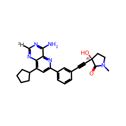 [2H]c1nc(N)c2nc(-c3cccc(C#C[C@]4(O)CCN(C)C4=O)c3)cc(C3CCCC3)c2n1